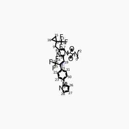 CN(C)S(=O)(=O)n1cc(CC2(C(F)(F)F)CC2)nc1/C=C(/c1ccc(-n2cccn2)cc1)C(F)(F)F